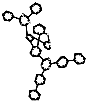 c1ccc(-c2ccc(-c3nc(-c4ccc(-c5ccccc5)cc4)nc(-c4ccc5c(c4)C4(c6ccccc6Oc6ccccc64)c4cc(-c6nc(-c7ccccc7)nc(-c7ccccc7)n6)ccc4-5)n3)cc2)cc1